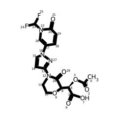 CC(=O)O[C@@H](C(=O)O)C1OCCN(c2ccn(-c3ccc(=O)n(C(F)F)c3)n2)C1=O